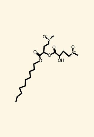 CCCCCCCCCCOC(=O)C(CC[S+](C)[O-])OC(=O)C(O)CC[S+](C)[O-]